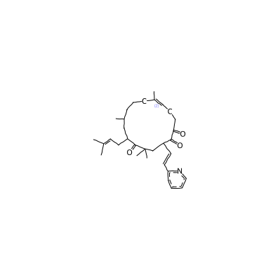 CC(C)=CCC1CC(C)CCC/C(C)=C\CCC(=O)C(=O)C(C=Cc2ccccn2)CC(C)(C)C1=O